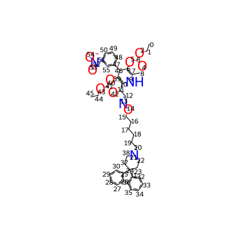 CCOC(=O)OC1=C(C)NC(CC=NOCCCCCCN2CCC(c3ccccc3)(c3ccccc3)CC2)=C(OC(=O)OCC)C1c1cccc([N+](=O)[O-])c1